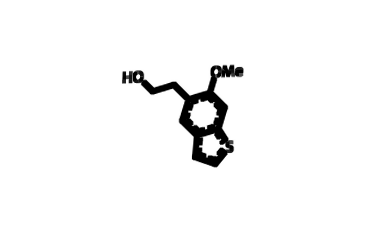 COc1cc2sccc2cc1CCO